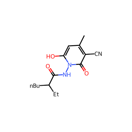 CCCCC(CC)C(=O)Nn1c(O)cc(C)c(C#N)c1=O